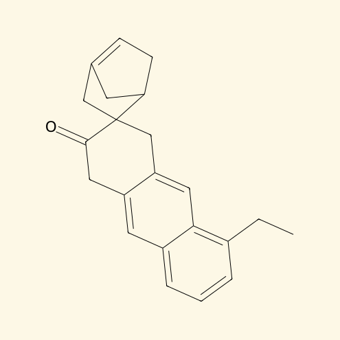 CCc1cccc2cc3c(cc12)CC1(CC2=CCC1C2)C(=O)C3